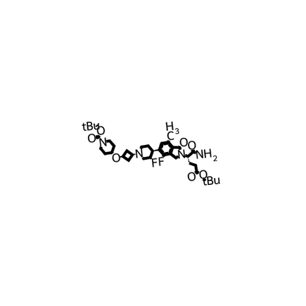 Cc1cc([C@@H]2CCN([C@H]3C[C@H](OC4CCN(C(=O)OC(C)(C)C)CC4)C3)C[C@@H]2F)c(F)c2c1C(=O)N([C@@H](CCC(=O)OC(C)(C)C)C(N)=O)C2